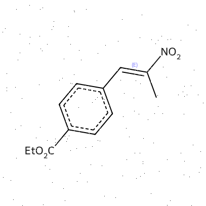 CCOC(=O)c1ccc(/C=C(\C)[N+](=O)[O-])cc1